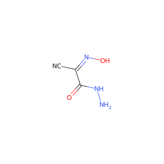 N#CC(=NO)C(=O)NN